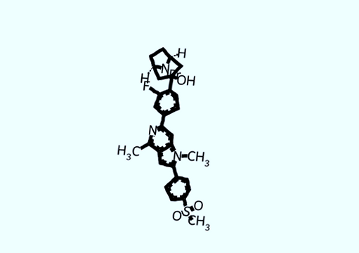 Cc1nc(-c2ccc(C3(O)C[C@H]4CC[C@@H](C3)N4C(C)C)c(F)c2)cc2c1cc(-c1ccc(S(C)(=O)=O)cc1)n2C